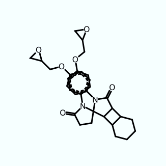 O=C1CCC2(C3C4CCCCC4C3C(=O)N2c2ccc(OCC3CO3)cc2)N1c1ccc(OCC2CO2)cc1